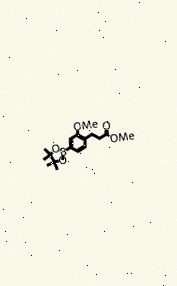 COC(=O)CCc1ccc(B2OC(C)(C)C(C)(C)O2)cc1OC